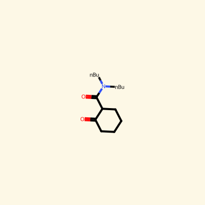 CCCCN(CCCC)C(=O)C1CCCCC1=O